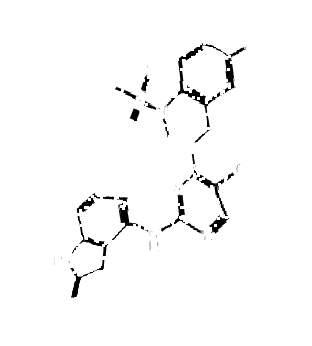 CN(c1ccc(F)cc1CNc1nc(Nc2cccc3c2CC(=O)N3)ncc1C(F)(F)F)S(C)(=O)=O